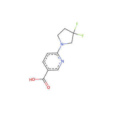 O=C(O)c1ccc(N2CCC(F)(F)C2)nc1